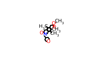 CCOC(=O)Cc1c(C)c(C)c2c(c1C)CC(=O)N(CC1CCOCC1)C2